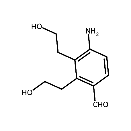 Nc1ccc(C=O)c(CCO)c1CCO